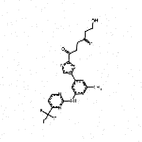 Cc1cc(Nc2nccc(C(F)(F)F)n2)cc(-c2cnc(C(=O)CCC(=O)CCO)s2)c1